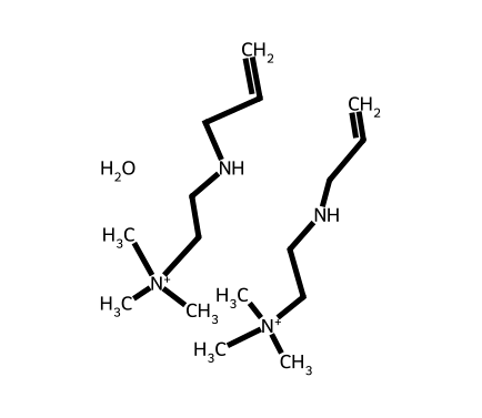 C=CCNCC[N+](C)(C)C.C=CCNCC[N+](C)(C)C.O